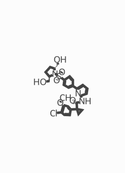 COc1cc(C2(C(=O)Nc3cccc(-c4ccc(S(=O)(=O)N5[C@@H](CO)CC[C@@H]5CO)cc4)n3)CC2)ccc1Cl